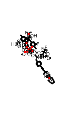 COC(=O)N[C@H](C(=O)N[C@@H](Cc1ccc(C#Cc2cnc(N3CC4CCC(C3)N4C3COC3)nc2)cc1)[C@H](CN(Cc1c(F)cc(-c2ccn(C(F)F)n2)cc1F)NC(=O)[C@@H](NC(=O)OC)C(C)(C)C(F)(F)F)OC(=O)O[C@H](C)OC(=O)CC(C)(C)c1c(CC(=O)O)cc(C)cc1OP(=O)(O)O)C(C)(C)C(F)(F)F